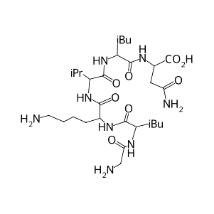 CCC(C)C(NC(=O)CN)C(=O)NC(CCCCN)C(=O)NC(C(=O)NC(C(=O)NC(CC(N)=O)C(=O)O)C(C)CC)C(C)C